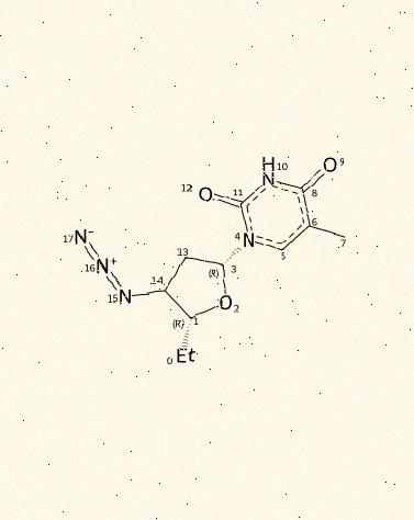 CC[C@H]1O[C@@H](n2cc(C)c(=O)[nH]c2=O)CC1N=[N+]=[N-]